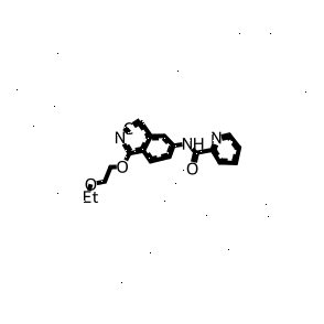 CCOCCOc1nccc2cc(NC(=O)c3ccccn3)ccc12